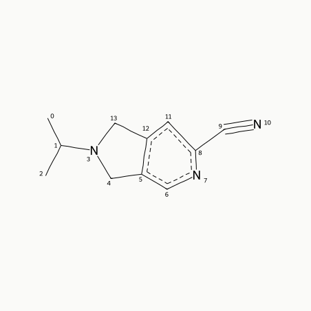 CC(C)N1Cc2cnc(C#N)cc2C1